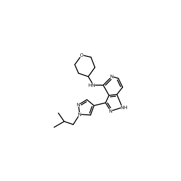 CC(C)Cn1cc(-c2n[nH]c3ccnc(NC4CCOCC4)c23)cn1